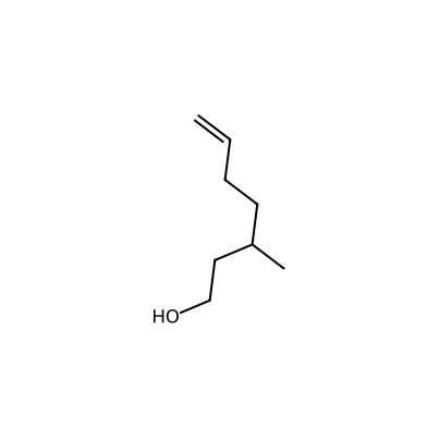 C=CCCC(C)CCO